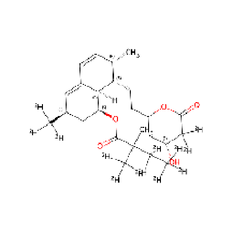 [2H]C([2H])([2H])[C@H]1C=C2C=C[C@H](C)[C@H](CCC3C[C@@H](O)C([2H])([2H])C(=O)O3)[C@H]2[C@@H](OC(=O)C(C)(C([2H])([2H])[2H])C([2H])([2H])C([2H])([2H])[2H])C1